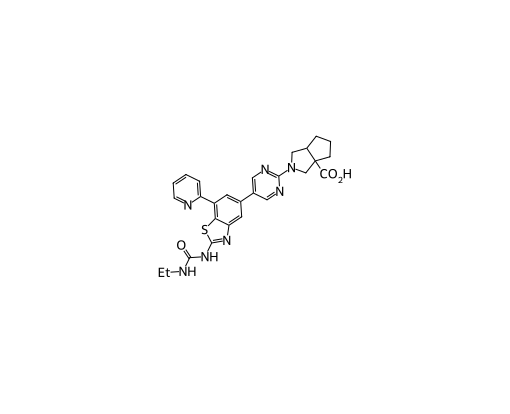 CCNC(=O)Nc1nc2cc(-c3cnc(N4CC5CCCC5(C(=O)O)C4)nc3)cc(-c3ccccn3)c2s1